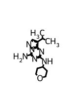 CC(C)c1cnn2c(N)nc(NC3CCOCC3)nc12